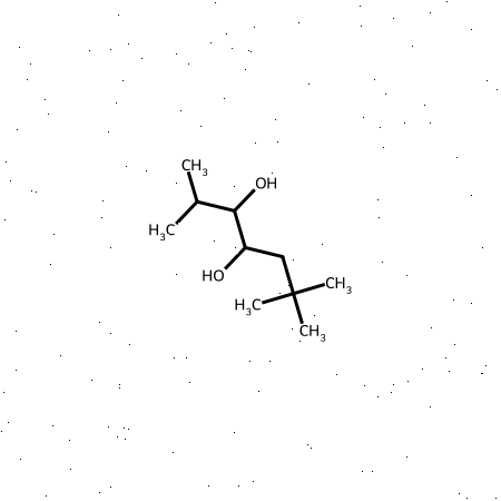 CC(C)C(O)C(O)CC(C)(C)C